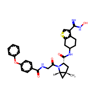 C[C@@]12C[C@@H]1N(C(=O)CNC(=O)c1ccc(Oc3ccccc3)cc1)[C@H](C(=O)NC1CCc3c(C(=N)NO)csc3C1)C2